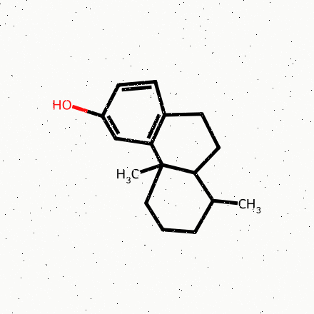 CC1CCCC2(C)c3cc(O)ccc3CCC12